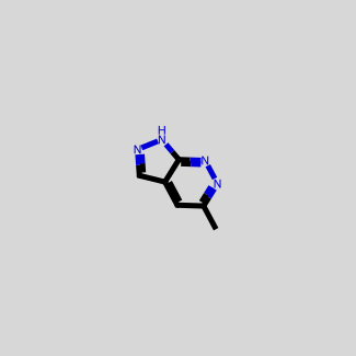 Cc1cc2cn[nH]c2nn1